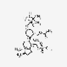 C=C1CCC2[C@H](COS(C)(=O)=O)C([C@@]3(C)CC[C@H](O[Si](C)(C)C(C)(C)C)C[C@@H]3COC(C)=O)CC[C@]12C